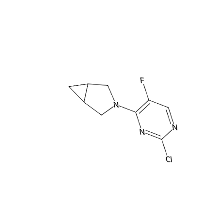 Fc1cnc(Cl)nc1N1CC2CC2C1